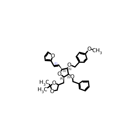 COc1ccc(CO[C@@H]2[C@@H](OCc3ccccc3)[C@@H](CC3COC(C)(C)O3)O[C@H]2/C=C/c2ccco2)cc1